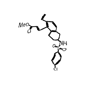 C=Cc1ccc2c(c1/C=C/C(=O)OC)CCC(NS(=O)(=O)c1ccc(Cl)cc1)C2